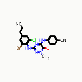 Cn1nc(Nc2c(Cl)cc(CCC#N)cc2Br)nc(Nc2ccc(C#N)cc2)c1=O